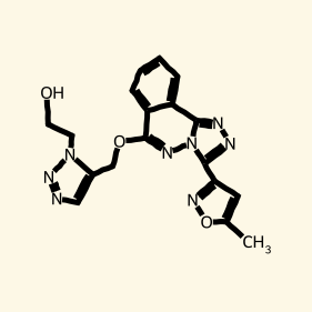 Cc1cc(-c2nnc3c4ccccc4c(OCc4cnnn4CCO)nn23)no1